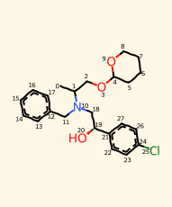 CC(COC1CCCCO1)N(Cc1ccccc1)C[C@H](O)c1ccc(Cl)cc1